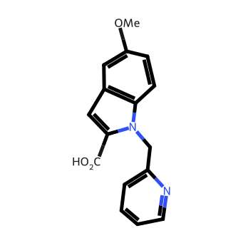 COc1ccc2c(c1)cc(C(=O)O)n2Cc1ccccn1